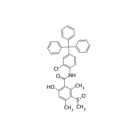 Cc1cc(O)c(C(=O)Nc2ccc(C(c3ccccc3)(c3ccccc3)c3ccccc3)cc2Cl)c(C)c1[S+](C)[O-]